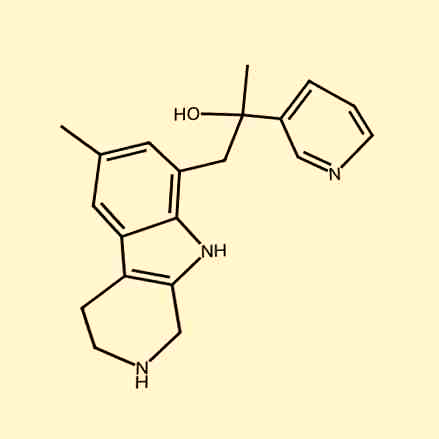 Cc1cc(CC(C)(O)c2cccnc2)c2[nH]c3c(c2c1)CCNC3